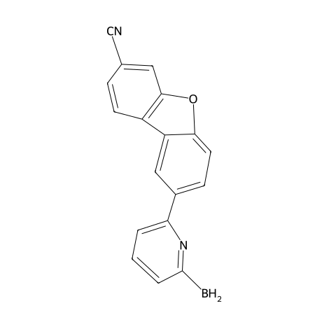 Bc1cccc(-c2ccc3oc4cc(C#N)ccc4c3c2)n1